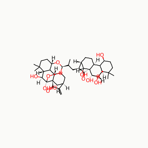 C=C1C(=O)[C@]23[C@H](O)[C@H]1CC[C@H]2[C@@]12C4O[C@H](C(C)C[C@@H]5C(=O)[C@]67[C@H](O)[C@H]5CC[C@H]6[C@@]56CO[C@]7(O)[C@@H](O)[C@@H]5C(C)(C)CC[C@@H]6O)O[C@H]1CCC(C)(C)[C@H]2[C@H](O)[C@@]3(O)O4